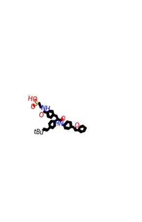 CC(C)(C)/C=C/c1ccc(C(Cc2ccc(C(=O)NCCS(=O)O)cc2)C(=O)Nc2ccc(-c3cc4ccccc4o3)cc2)cc1